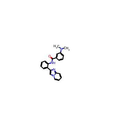 CN(C)c1cccc(C(=O)Nc2ccccc2-c2cn3ccccc3n2)c1